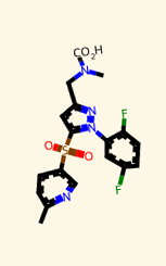 Cc1ccc(S(=O)(=O)c2cc(CN(C)C(=O)O)nn2-c2cc(F)ccc2F)cn1